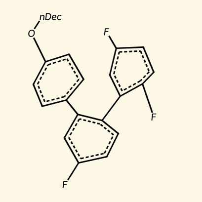 CCCCCCCCCCOc1ccc(-c2cc(F)ccc2-c2cc(F)ccc2F)cc1